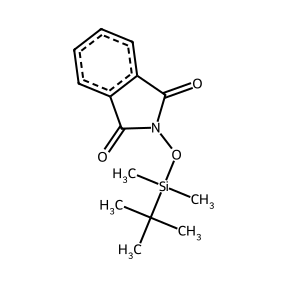 CC(C)(C)[Si](C)(C)ON1C(=O)c2ccccc2C1=O